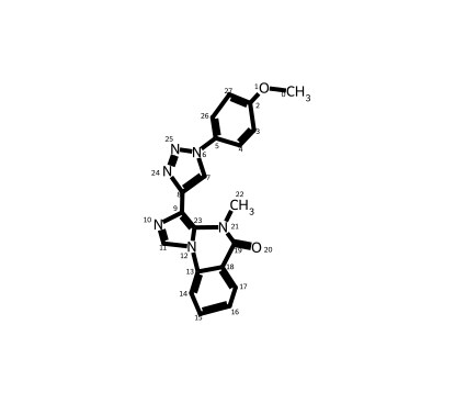 COc1ccc(-n2cc(-c3ncn4c5ccccc5c(=O)n(C)c34)nn2)cc1